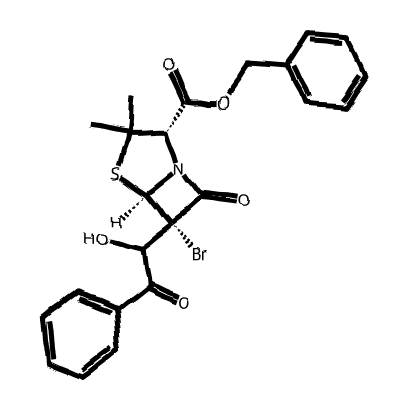 CC1(C)S[C@H]2N(C(=O)[C@@]2(Br)C(O)C(=O)c2ccccc2)[C@H]1C(=O)OCc1ccccc1